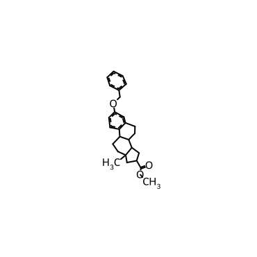 COC(=O)C1CC2C3CCc4cc(OCc5ccccc5)ccc4C3CCC2(C)C1